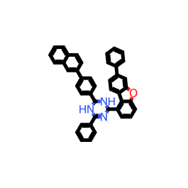 c1ccc(C2=NC(c3cccc4oc5cc(-c6ccccc6)ccc5c34)NC(c3ccc(-c4ccc5ccccc5c4)cc3)N2)cc1